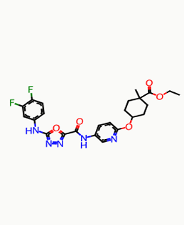 CCOC(=O)C1(C)CCC(Oc2ccc(NC(=O)c3nnc(Nc4ccc(F)c(F)c4)o3)cn2)CC1